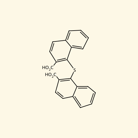 O=C(O)c1ccc2ccccc2c1Sc1c(C(=O)O)ccc2ccccc12